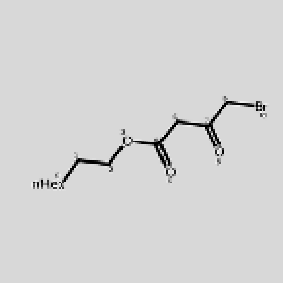 CCCCCCCCOC(=O)CC(=O)CBr